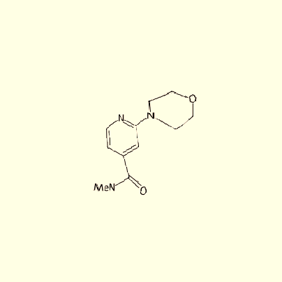 CNC(=O)c1ccnc(N2CCOCC2)c1